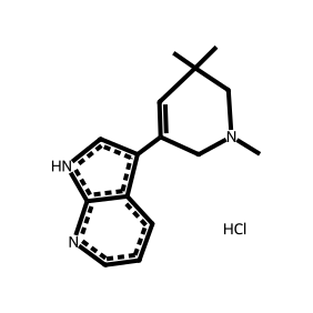 CN1CC(c2c[nH]c3ncccc23)=CC(C)(C)C1.Cl